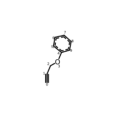 C#CCOc1[c]cccc1